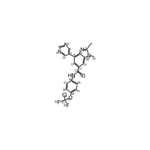 Cc1nc2c(-c3cncnc3)cc(C(=O)Nc3ccc(OC(F)(F)Cl)cc3)cc2n1C